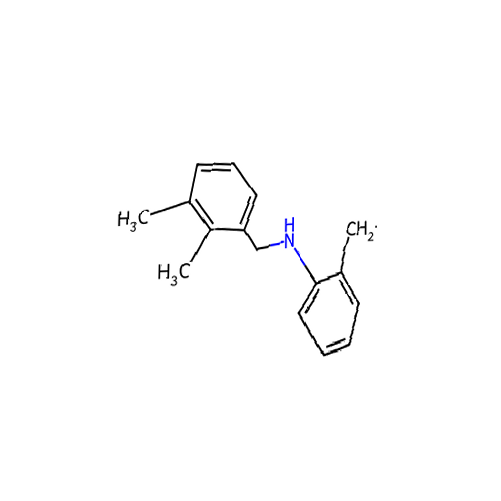 [CH2]c1ccccc1NCc1cccc(C)c1C